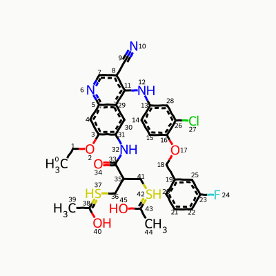 CCOc1cc2ncc(C#N)c(Nc3ccc(OCc4cccc(F)c4)c(Cl)c3)c2cc1NC(=O)C(C[SH]=C(C)O)C[SH]=C(C)O